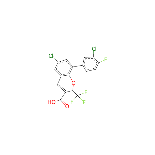 O=C(O)C1=Cc2cc(Cl)cc(-c3ccc(F)c(Cl)c3)c2OC1C(F)(F)F